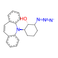 [N-]=[N+]=NC1CCC[C@@H](N2c3ccccc3C=Cc3ccccc32)[C@@H]1O